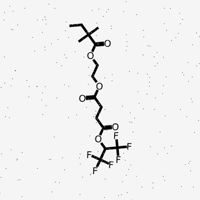 CCC(C)(C)C(=O)OCCOC(=O)CCC(=O)OC(C(F)(F)F)C(F)(F)F